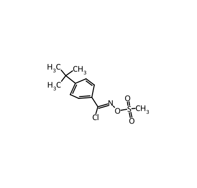 CC(C)(C)c1ccc(/C(Cl)=N/OS(C)(=O)=O)cc1